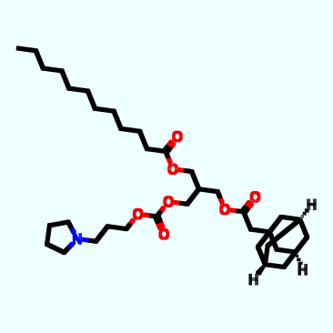 CCCCCCCCCCCC(=O)OCC(COC(=O)CC12C[C@H]3C[C@H](C1)C[C@@H](C2)C3)COC(=O)OCCCN1CCCC1